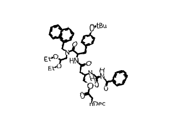 CCCCCCCCCCCC(=O)OCC(CC(=O)NC(Cc1ccc(OC(C)(C)C)cc1)C(=O)N(Cc1cccc2ccccc12)CC(OCC)OCC)NC(=O)NC(=O)c1ccccc1